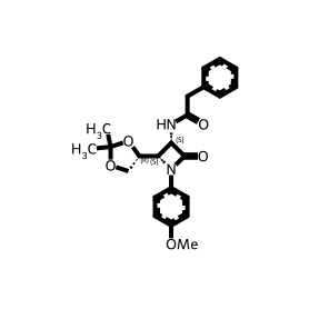 COc1ccc(N2C(=O)[C@@H](NC(=O)Cc3ccccc3)[C@H]2[C@@H]2COC(C)(C)O2)cc1